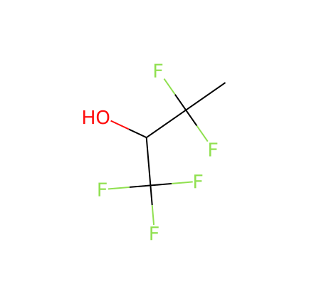 CC(F)(F)C(O)C(F)(F)F